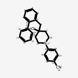 COC1(Cc2ccccc2-c2ccccc2)CCN(c2ccc(C#N)cc2)CC1